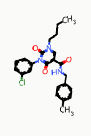 CCCCn1cc(C(=O)NCc2ccc(C)cc2)c(=O)n(-c2cccc(Cl)c2)c1=O